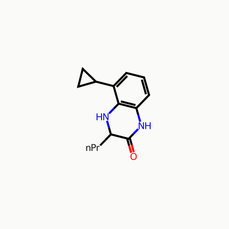 CCCC1Nc2c(cccc2C2CC2)NC1=O